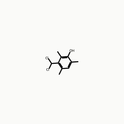 Cc1cc(C)c(C(Cl)Cl)c(C)c1O